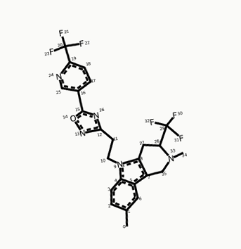 Cc1ccc2c(c1)c1c(n2CCc2noc(-c3ccc(C(F)(F)F)nc3)n2)CC(C(F)(F)F)N(C)C1